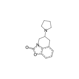 O=c1oc2cccc3c2n1CC(N1CCCC1)C3